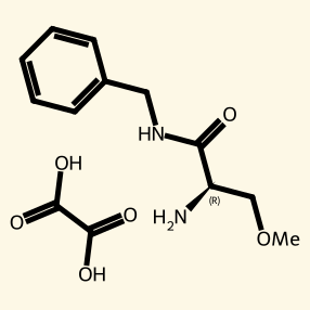 COC[C@@H](N)C(=O)NCc1ccccc1.O=C(O)C(=O)O